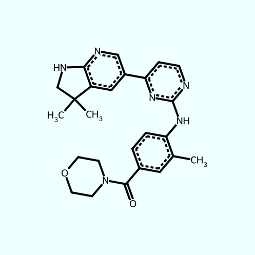 Cc1cc(C(=O)N2CCOCC2)ccc1Nc1nccc(-c2cnc3c(c2)C(C)(C)CN3)n1